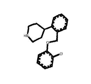 Clc1ccccc1OCc1ccccc1C1CCNCC1